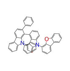 c1ccc(-c2ccc3c4ccccc4n(-c4ccccc4)c3c2-c2cccc3c2c2ccccc2n3-c2cccc3c2oc2ccccc23)cc1